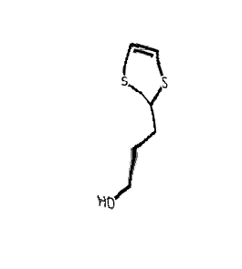 OCCCC1SC=CS1